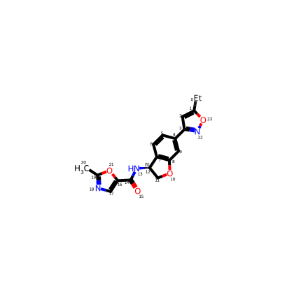 CCc1cc(-c2ccc3c(c2)OC[C@H]3NC(=O)c2cnc(C)o2)no1